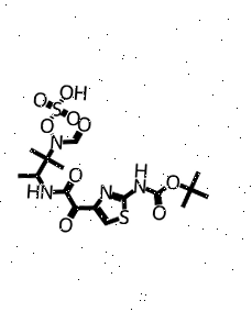 CC(NC(=O)C(=O)c1csc(NC(=O)OC(C)(C)C)n1)C(C)(C)N(C=O)OS(=O)(=O)O